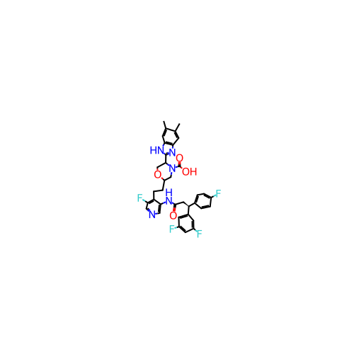 Cc1cc2nc(C3COC(CCc4c(F)cncc4NC(=O)C[C@@H](c4ccc(F)cc4)c4cc(F)cc(F)c4)CN3C(=O)O)[nH]c2cc1C